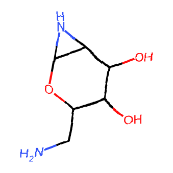 NCC1OC2NC2C(O)C1O